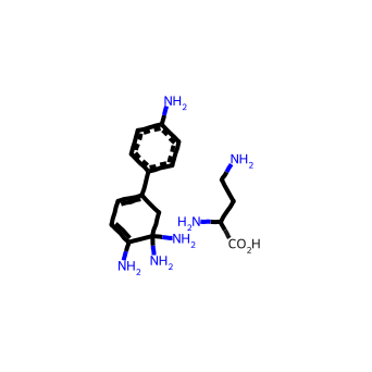 NC1=CC=C(c2ccc(N)cc2)CC1(N)N.NCCC(N)C(=O)O